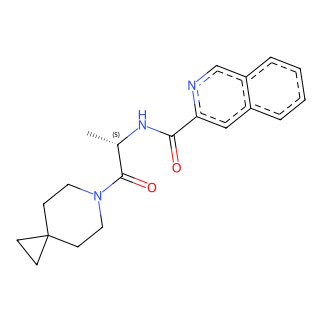 C[C@H](NC(=O)c1cc2ccccc2cn1)C(=O)N1CCC2(CC1)CC2